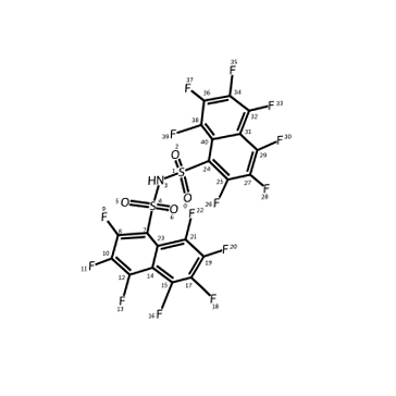 O=S(=O)(NS(=O)(=O)c1c(F)c(F)c(F)c2c(F)c(F)c(F)c(F)c12)c1c(F)c(F)c(F)c2c(F)c(F)c(F)c(F)c12